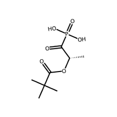 C[C@H](OC(=O)C(C)(C)C)C(=O)P(=O)(O)O